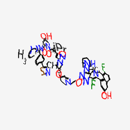 C#Cc1c(F)ccc2cc(O)cc(-c3ncc4c(N5CC6CCC(C5)N6)nc(OCCN5CCC(OC6CN(c7cc([C@@H](C(=O)N8C[C@H](O)C[C@H]8C(=O)N[C@@H](C)c8ccc(-c9scnc9C)cc8)C(C)C)on7)C6)CC5)nc4c3F)c12